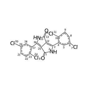 O=C1NC(c2cc(Cl)ccc2Cl)=C2C(=O)NC(c3cc(Cl)ccc3Cl)=C12